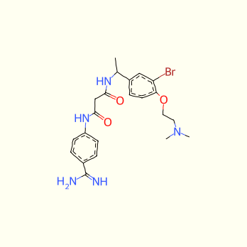 CC(NC(=O)CC(=O)Nc1ccc(C(=N)N)cc1)c1ccc(OCCN(C)C)c(Br)c1